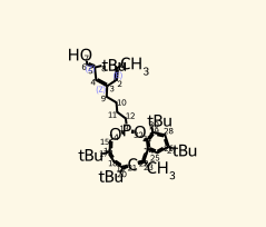 C/C=C/C(=C\C(=C\O)C(C)(C)C)CCCCp1occ(C(C)(C)C)cc(C(C)(C)C)cc(C)c2cc(C(C)(C)C)cc(C(C)(C)C)c2o1